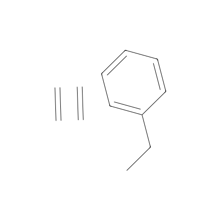 C=C.C=C.CCc1ccccc1